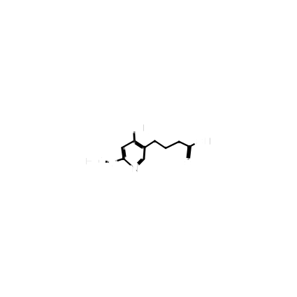 COc1cc(C)c(CCCC(=O)O)cn1